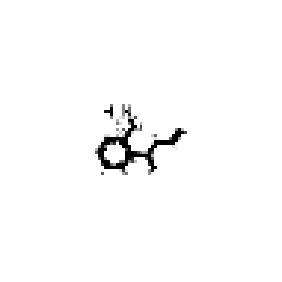 C=CCC(C)c1ccccc1CN